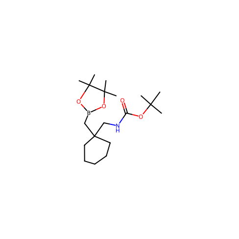 CC(C)(C)OC(=O)NCC1(CB2OC(C)(C)C(C)(C)O2)CCCCC1